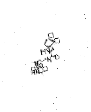 CC(=O)NS(=O)(=O)N(C)CCCN(C)C(=O)c1cc2c(Cl)c(Cl)ccc2[nH]1